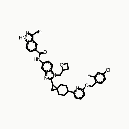 CC(C)c1n[nH]c2ccc(C(=O)Nc3ccc4c(c3)nc(C3CC35CCC(c3cccc(OCc6ccc(Cl)cc6F)n3)CC5)n4CC3CCO3)cc12